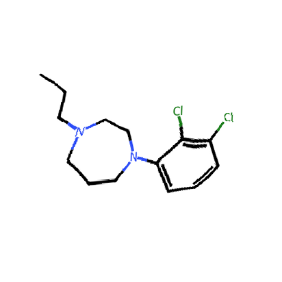 CCCN1CCCN(c2cccc(Cl)c2Cl)CC1